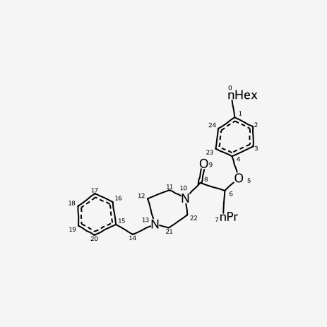 CCCCCCc1ccc(OC(CCC)C(=O)N2CCN(Cc3ccccc3)CC2)cc1